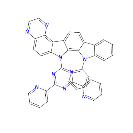 c1ccc(-n2c3ccccc3c3ccc4c5c6nccnc6ccc5n(-c5nc(-c6ccccn6)nc(-c6ccccn6)n5)c4c32)cc1